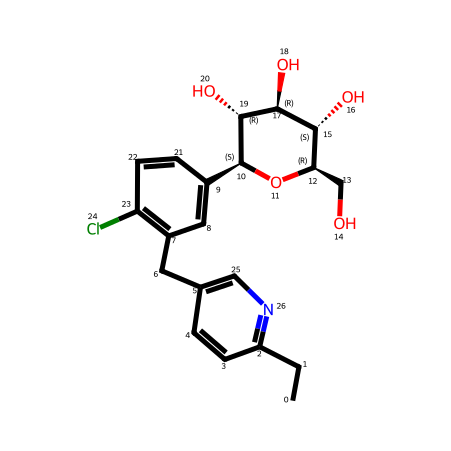 CCc1ccc(Cc2cc([C@@H]3O[C@H](CO)[C@@H](O)[C@H](O)[C@H]3O)ccc2Cl)cn1